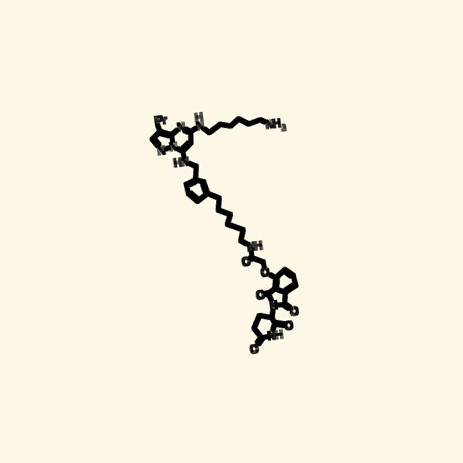 CC(C)c1cnn2c(NCc3cccc(CCCCCCNC(=O)COc4cccc5c4C(=O)N(C4CCC(=O)NC4=O)C5=O)c3)cc(NCCCCCCN)nc12